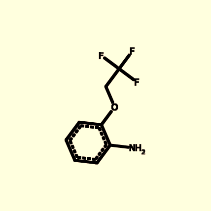 Nc1ccccc1OCC(F)(F)F